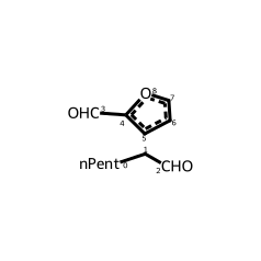 CCCCCCC=O.O=Cc1ccco1